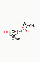 C=C(C)C(=O)OCCC[Si](C)(CO)OC